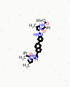 COC(=O)N[C@H](C(=O)N1CC(C)=C[C@H]1c1nc2ccc(-c3ccc4cc(-c5cnc([C@@H]6C=C(C)CN6C(=O)[C@@H](C)C(C)C)[nH]5)ccc4c3)cc2[nH]1)C(C)C